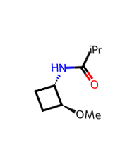 CO[C@H]1CC[C@@H]1NC(=O)C(C)C